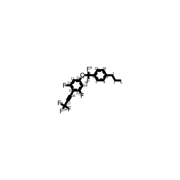 CCCc1ccc(C(F)(F)Oc2cc(F)c(C#CC(F)(F)F)c(F)c2)cc1